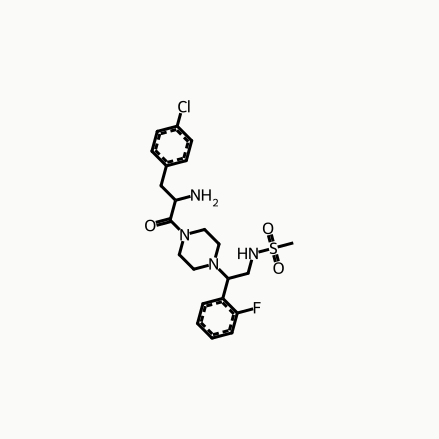 CS(=O)(=O)NCC(c1ccccc1F)N1CCN(C(=O)C(N)Cc2ccc(Cl)cc2)CC1